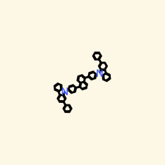 C1=C(c2ccccc2)CCc2c1n(-c1ccc(-c3cccc4c(-c5ccc(-n6c7ccccc7c7ccc(-c8ccccc8)cc76)cc5)cccc34)cc1)c1ccccc21